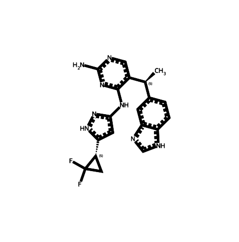 C[C@@H](c1ccc2[nH]cnc2c1)c1cnc(N)nc1Nc1cc([C@@H]2CC2(F)F)[nH]n1